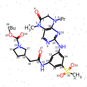 CC(C)N1CC(=O)N(C)c2cnc(Nc3cc(NC(=O)C[C@H]4CCN(C(=O)OC(C)(C)C)C4)cc(S(C)(=O)=O)c3)nc21